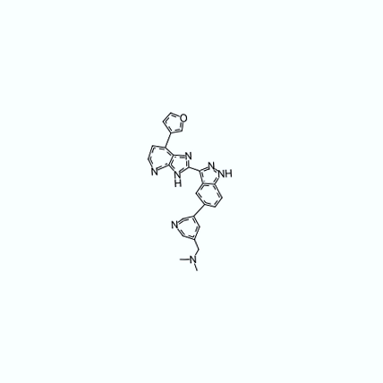 CN(C)Cc1cncc(-c2ccc3[nH]nc(-c4nc5c(-c6ccoc6)ccnc5[nH]4)c3c2)c1